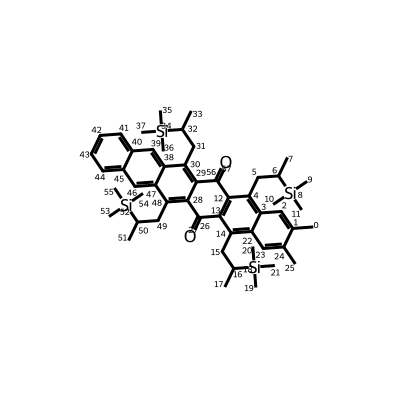 Cc1cc2c(CC(C)[Si](C)(C)C)c3c(c(CC(C)[Si](C)(C)C)c2cc1C)C(=O)c1c(c(CC(C)[Si](C)(C)C)c2cc4ccccc4cc2c1CC(C)[Si](C)(C)C)C3=O